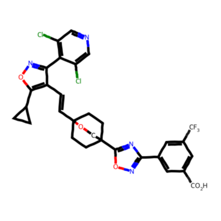 O=C(O)c1cc(-c2noc(C34CCC(/C=C/c5c(-c6c(Cl)cncc6Cl)noc5C5CC5)(CC3)OC4)n2)cc(C(F)(F)F)c1